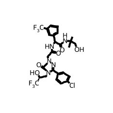 CC(C)(CO)NC(=O)C(NC(=O)Cn1nc(-c2ccc(Cl)cc2)n(C[C@H](O)C(F)(F)F)c1=O)c1cccc(C(F)(F)F)c1